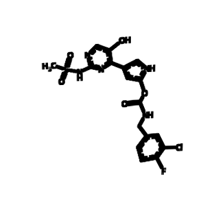 CS(=O)(=O)Nc1ncc(O)c(-c2c[nH]c(OC(=O)NCc3ccc(F)c(Cl)c3)c2)n1